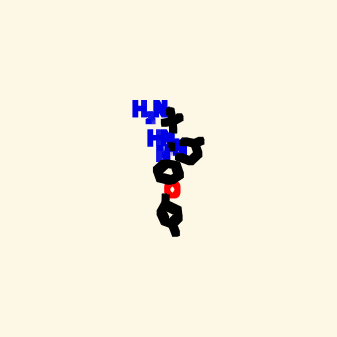 Cc1ccc(COc2ccc(/N=C(/NCC(C)(C)CN)N3CCCC(C)C3)cc2)cc1